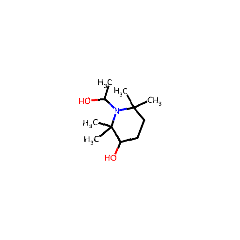 CC(O)N1C(C)(C)CCC(O)C1(C)C